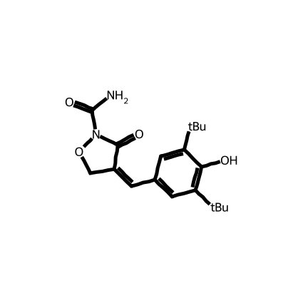 CC(C)(C)c1cc(C=C2CON(C(N)=O)C2=O)cc(C(C)(C)C)c1O